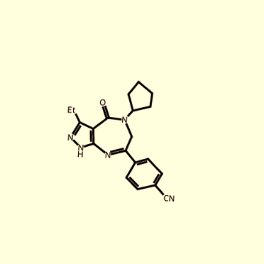 CCc1n[nH]c2c1C(=O)N(C1CCCC1)CC(c1ccc(C#N)cc1)=N2